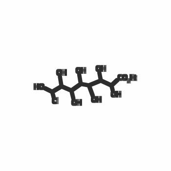 CCOC(=O)C(O)C(O)C(O)C(O)C(O)C(O)C(O)Cl